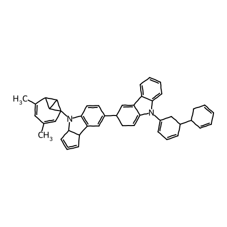 CC1=CC2(N3c4ccc(C5C=c6c(n(C7=CC=CC(C8C=CC=CC8)C7)c7ccccc67)=CC5)cc4C4C=C=CC43)C3C(C(C)=C1)C32